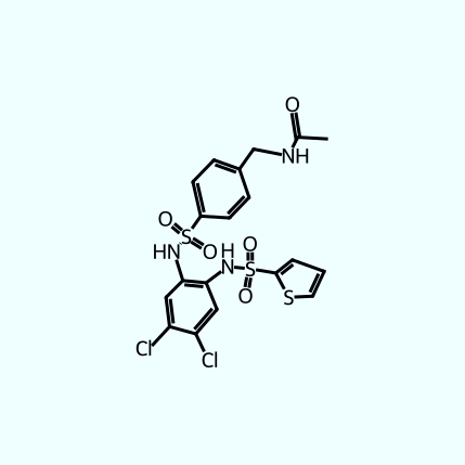 CC(=O)NCc1ccc(S(=O)(=O)Nc2cc(Cl)c(Cl)cc2NS(=O)(=O)c2cccs2)cc1